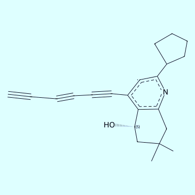 C#CC#CC#Cc1[c]c(C2CCCC2)nc2c1[C@@H](O)CC(C)(C)C2